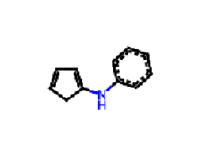 C1=CCC(Nc2ccccc2)=C1